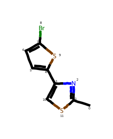 Cc1nc(-c2ccc(Br)s2)cs1